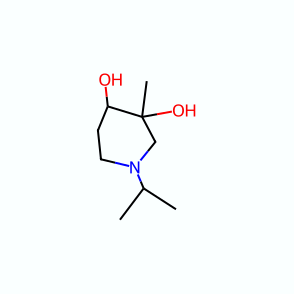 CC(C)N1CCC(O)C(C)(O)C1